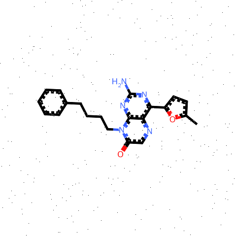 Cc1ccc(-c2nc(N)nc3c2ncc(=O)n3CCCCc2ccccc2)o1